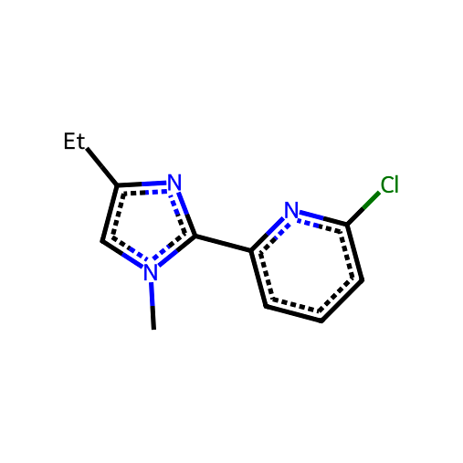 CCc1cn(C)c(-c2cccc(Cl)n2)n1